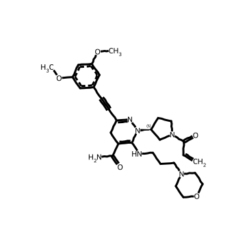 C=CC(=O)N1CC[C@H](N2N=C(C#Cc3cc(OC)cc(OC)c3)CC(C(N)=O)=C2NCCCN2CCOCC2)C1